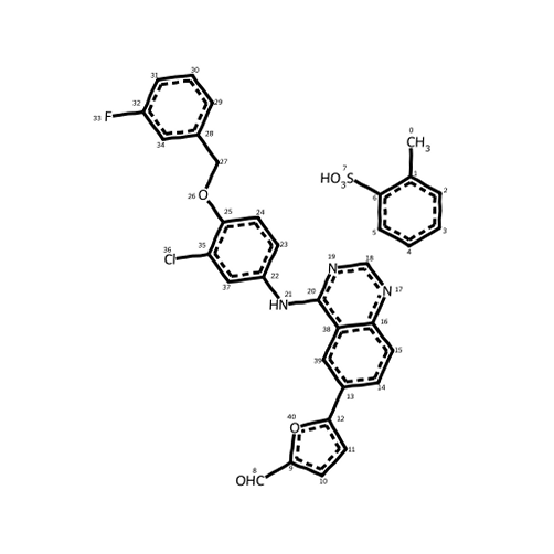 Cc1ccccc1S(=O)(=O)O.O=Cc1ccc(-c2ccc3ncnc(Nc4ccc(OCc5cccc(F)c5)c(Cl)c4)c3c2)o1